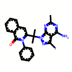 Cc1nc(N)c2c(I)nn(C(C)(C)c3cc4ccccc4c(=O)n3-c3ccccc3)c2n1